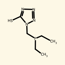 CCP(CC)Cn1nnnc1S